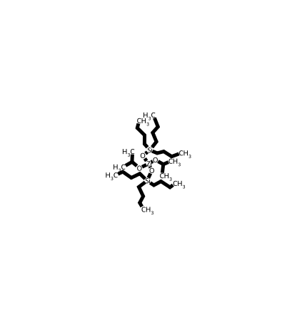 CCCC[Si](CCCC)(CCCC)[O][Zr]([O]C(C)C)([O]C(C)C)[O][Si](CCCC)(CCCC)CCCC